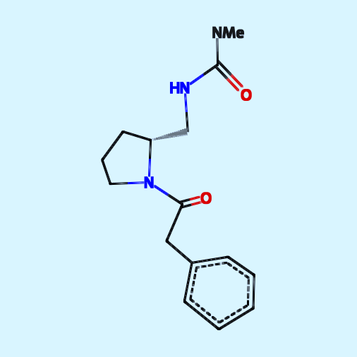 CNC(=O)NC[C@H]1CCCN1C(=O)Cc1ccccc1